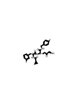 N=CC(=O)CC[C@H](NC(=O)[C@H](Cc1cccc(F)c1)NC(=O)C1CC1)C(=O)NCc1ccc(F)cc1